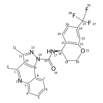 Cc1nc2ccccc2c2c1c(C)nn2C(=O)N[C@@H]1CCOc2cc(C(F)(F)F)ccc21